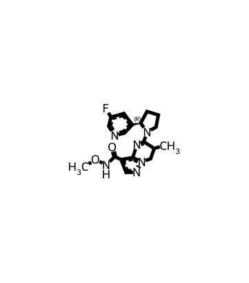 CONC(=O)c1cnn2c1N=C(N1CCC[C@@H]1c1cncc(F)c1)C(C)C2